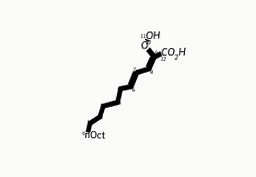 CCCCCCCCCCCCCC=CC=C(OO)C(=O)O